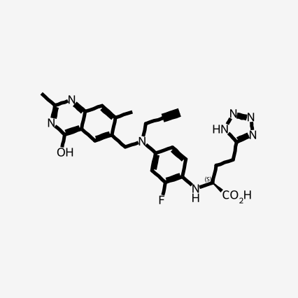 C#CCN(Cc1cc2c(O)nc(C)nc2cc1C)c1ccc(N[C@@H](CCc2nnn[nH]2)C(=O)O)c(F)c1